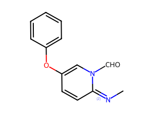 C/N=c1/ccc(Oc2ccccc2)cn1C=O